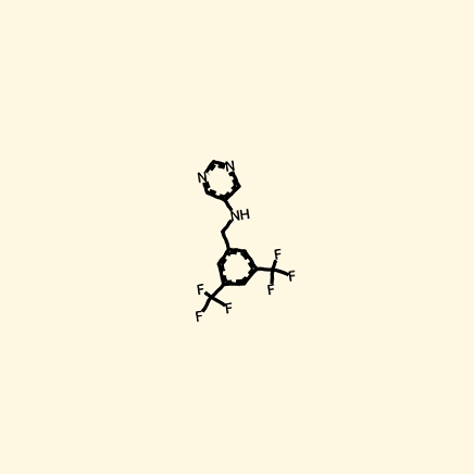 FC(F)(F)c1cc(CNc2cncnc2)cc(C(F)(F)F)c1